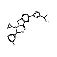 CC(F)c1nnc(-c2ccc3c(c2)C(=O)N([C@H](C2CC2)C(O)c2cccc(F)n2)C3)o1